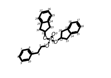 O=P(OCCc1ccccc1)(OC1Cc2ccccc2C1)OC1Cc2ccccc2C1